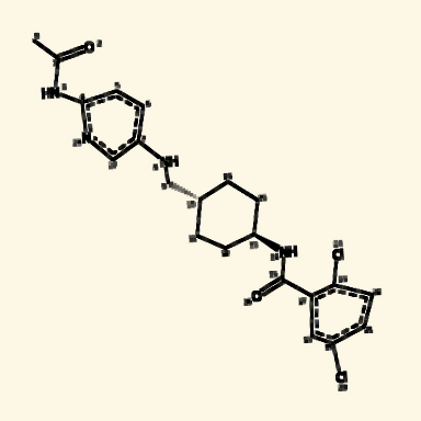 CC(=O)Nc1ccc(NC[C@H]2CC[C@H](NC(=O)c3cc(Cl)ccc3Cl)CC2)cn1